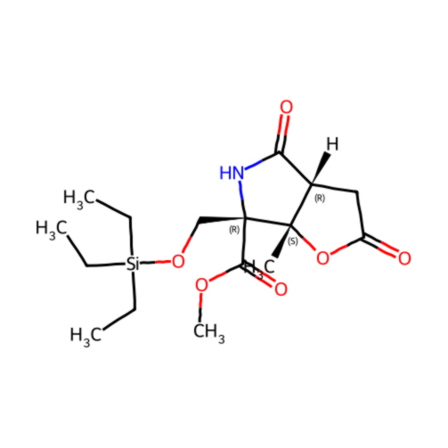 CC[Si](CC)(CC)OC[C@@]1(C(=O)OC)NC(=O)[C@@H]2CC(=O)O[C@@]21C